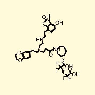 O=C(CCN(CCNCCc1ccc(O)c2[nH]c(=O)sc12)CCc1ccc2c(c1)OCCO2)NC1CCCCCC1.O=C(O)C(F)(F)F.O=C(O)C(F)(F)F